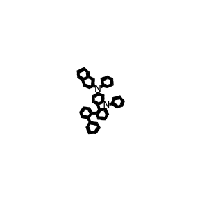 c1ccc(-c2ccccc2-c2cccc3c2c2ccc(N(c4ccccc4)c4ccc5ccccc5c4)cc2n3-c2ccccc2)cc1